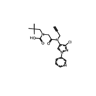 C#CCN(C(=O)CN(CC(C)(C)C)C(=O)O)c1cn(-c2cccnc2)nc1Cl